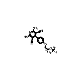 [2H]C([2H])([2H])O[C@H](C)COc1ccc(-c2c(C#N)c(N)nc(S)c2C#N)cc1